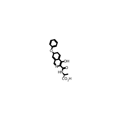 C[C@H](NC(=O)c1ncc2c(c1O)=CCC(Oc1ccccc1)C=2)C(=O)O